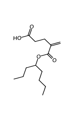 C=C(CCC(=O)O)C(=O)OC(CCC)CCCC